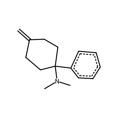 C=C1CCC(c2ccccc2)(N(C)C)CC1